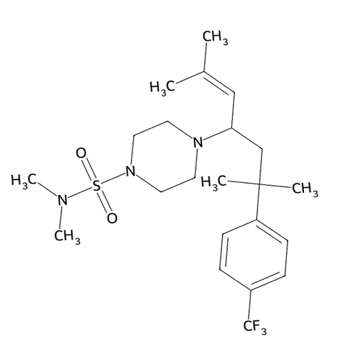 CC(C)=CC(CC(C)(C)c1ccc(C(F)(F)F)cc1)N1CCN(S(=O)(=O)N(C)C)CC1